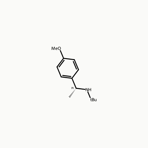 COc1ccc([C@@H](C)NC(C)(C)C)cc1